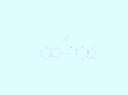 CC(C)(C)c1ccc2nc(CC(C)(SS)c3ccn4ncnc4c3)nn2c1